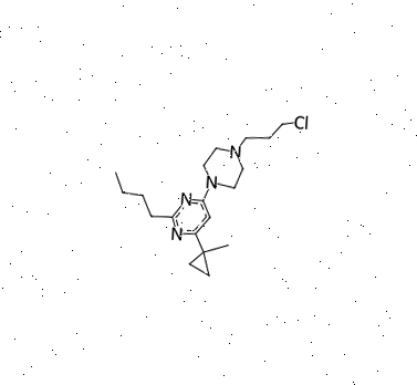 CCCCc1nc(N2CCN(CCCCl)CC2)cc(C2(C)CC2)n1